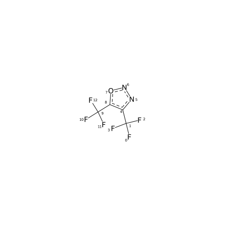 FC(F)(F)c1nnoc1C(F)(F)F